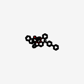 c1ccc(-c2ccc(N(c3ccc4c(c3)C3(c5ccccc5Oc5c3ccc3ccccc53)c3ccccc3-4)c3ccccc3-c3ccc4ccccc4c3)cc2)cc1